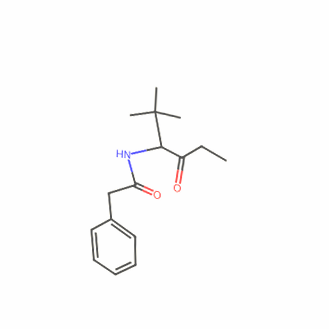 CCC(=O)C(NC(=O)Cc1ccccc1)C(C)(C)C